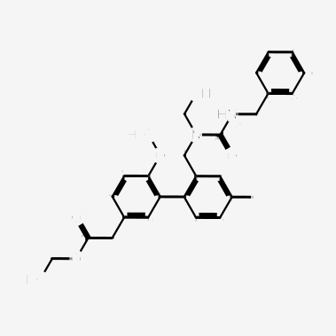 CCOC(=O)Cc1ccc(OC)c(-c2ccc(F)cc2CN(CC)C(=O)NCc2ccccc2)c1